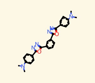 CN(C)c1ccc(-c2nnc(-c3cccc(-c4nnc(-c5ccc(N(C)C)cc5)o4)c3)o2)cc1